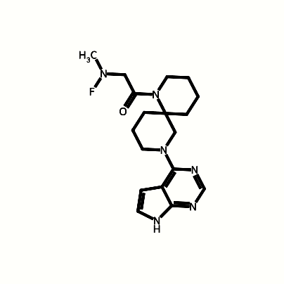 CN(F)CC(=O)N1CCCCC12CCCN(c1ncnc3[nH]ccc13)C2